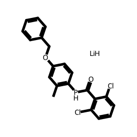 Cc1cc(OCc2ccccc2)ccc1PC(=O)c1c(Cl)cccc1Cl.[LiH]